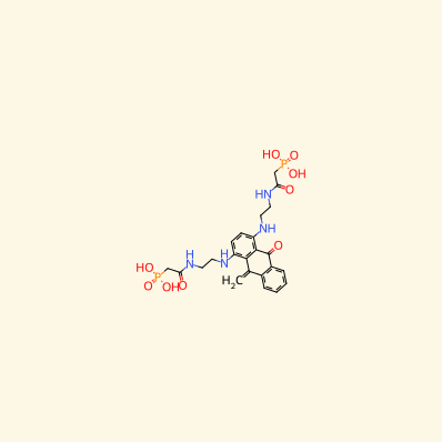 C=C1c2ccccc2C(=O)c2c(NCCNC(=O)CP(=O)(O)O)ccc(NCCNC(=O)CP(=O)(O)O)c21